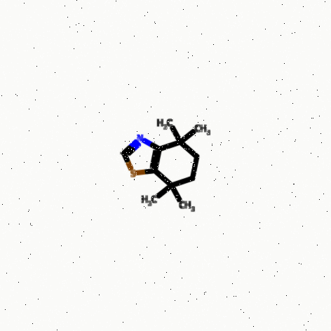 CC1(C)CCC(C)(C)c2s[c]nc21